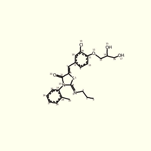 CCC/N=C1\S/C(=C\c2ccc(OCC(O)CO)c(Cl)c2)C(=O)N1c1ccccc1C